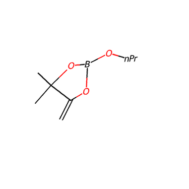 C=C1OB(OCCC)OC1(C)C